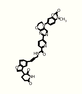 Cn1c(=O)oc2cc(N3CCOc4nc(-c5ccc(C(=O)NCC#Cc6ccc7occ(C8CCC(=O)NC8=O)c7c6)nc5)ncc43)ccc21